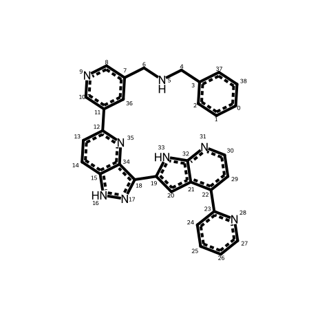 c1ccc(CNCc2cncc(-c3ccc4[nH]nc(-c5cc6c(-c7ccccn7)ccnc6[nH]5)c4n3)c2)cc1